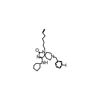 C=CCCCCCN1C(=O)N=C(NC2CCCCC2)C12CCN(Cc1cccc(I)c1)CC2